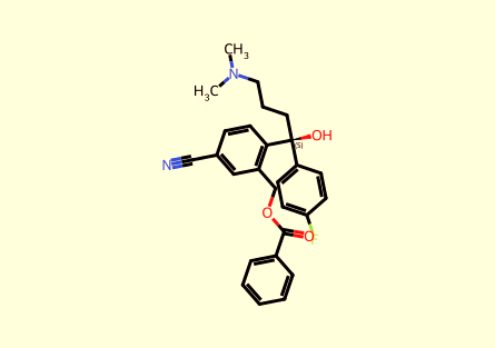 CN(C)CCC[C@](O)(c1ccc(F)cc1)c1ccc(C#N)cc1COC(=O)c1ccccc1